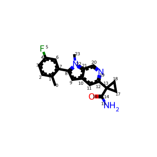 Cc1ccc(F)cc1-c1cc2cc(C3(C(N)=O)CC3)ncc2n1C